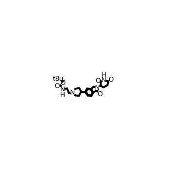 CC(C)(C)OC(=O)NCCN1CCC(c2ccc3c(c2)CN(C2CCC(=O)NC2=O)C3=O)CC1